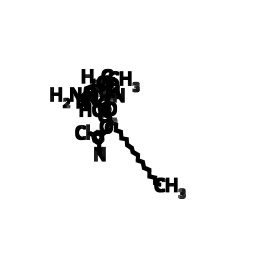 CCCCCCCCCCCCCCCCC[C@H](COP(=O)(O)OC[C@@]1(C#N)C[C@@H](c2ccc3c(N)ncnn23)[C@@H]2OC(C)(C)O[C@@H]21)OCc1cc(Cl)cc(C#N)c1